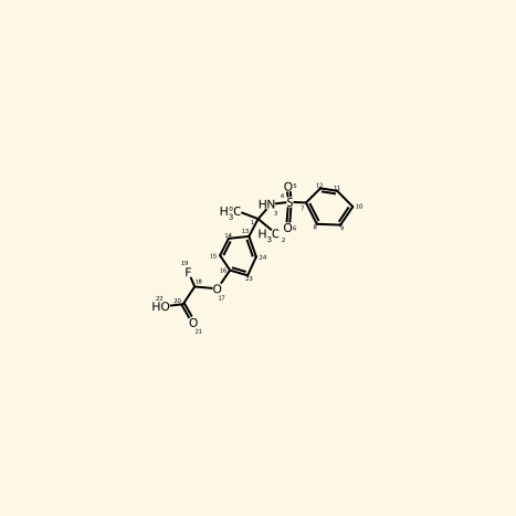 CC(C)(NS(=O)(=O)c1ccccc1)c1ccc(OC(F)C(=O)O)cc1